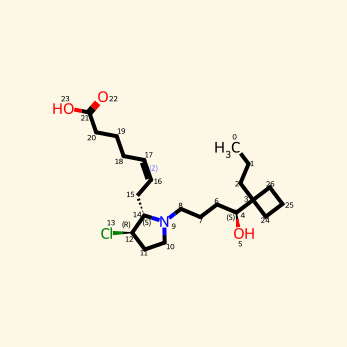 CCCC1([C@@H](O)CCCN2CC[C@@H](Cl)[C@@H]2C/C=C\CCCC(=O)O)CCC1